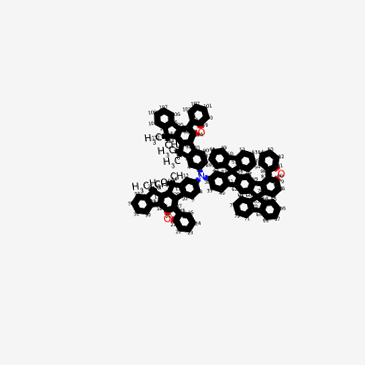 CC1(C)c2cc(N(c3ccc4c(c3)C(C)(C)c3c5c(c6oc7ccccc7c6c3-4)-c3ccccc3C5(C)C)c3ccc4c(c3)C3(c5ccccc5-c5ccccc53)c3cc5c(cc3-4)C3(c4ccccc4-c4ccccc43)c3ccc4oc6ccccc6c4c3-5)ccc2-c2c1c1c(c3c2oc2ccccc23)-c2ccccc2C1(C)C